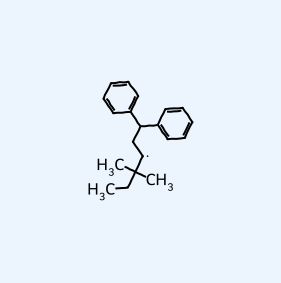 CCC(C)(C)[CH]CC(c1ccccc1)c1ccccc1